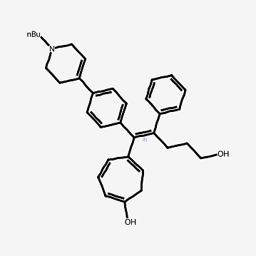 CCCCN1CC=C(c2ccc(/C(C3=CCC(O)=CC=C3)=C(/CCCO)c3ccccc3)cc2)CC1